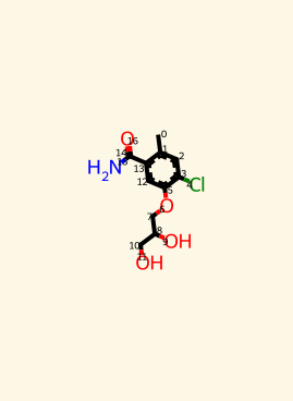 Cc1cc(Cl)c(OCC(O)CO)cc1C(N)=O